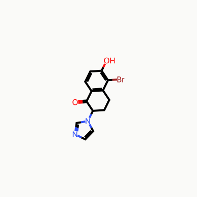 O=C1c2ccc(O)c(Br)c2CCC1n1ccnc1